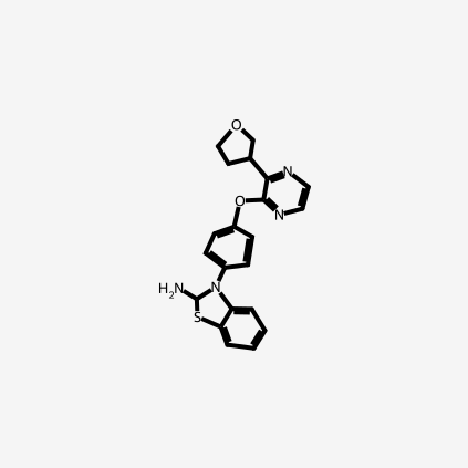 NC1Sc2ccccc2N1c1ccc(Oc2nccnc2C2CCOC2)cc1